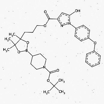 CC(C)(C)OC(=O)N1CCC(B2OC(C)(C)C(C)(CCCOC(=O)c3cc(O)n(-c4ccc(Oc5ccccc5)cc4)n3)O2)CC1